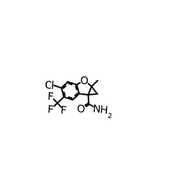 CC12CC1(C(N)=O)c1cc(C(F)(F)F)c(Cl)cc1O2